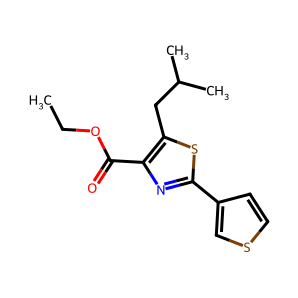 CCOC(=O)c1nc(-c2ccsc2)sc1CC(C)C